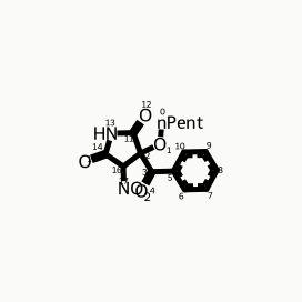 CCCCCOC1(C(=O)c2ccccc2)C(=O)NC(=O)C1[N+](=O)[O-]